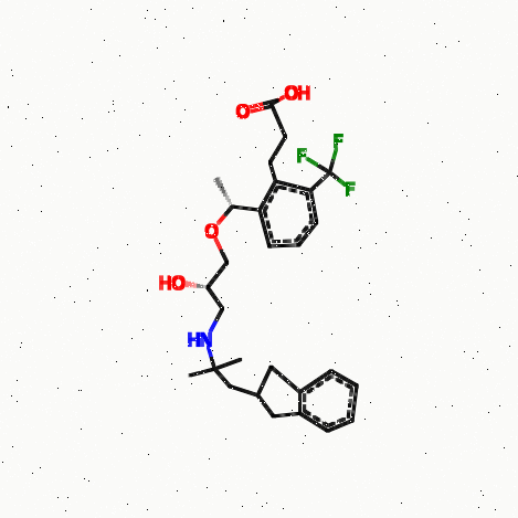 C[C@@H](OC[C@@H](O)CNC(C)(C)CC1Cc2ccccc2C1)c1cccc(C(F)(F)F)c1CCC(=O)O